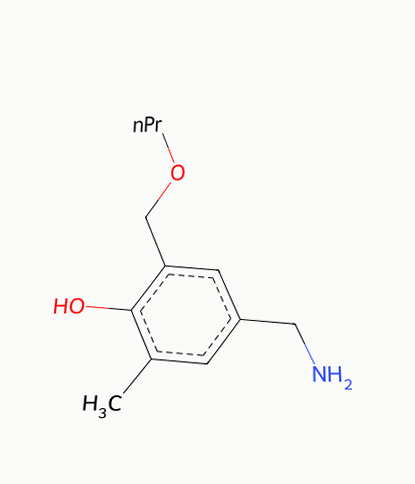 CCCOCc1cc(CN)cc(C)c1O